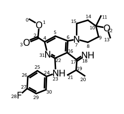 COC(=O)c1cc(N2CCC(C)(OC)CC2)c(C(=N)C(C)C)c(Nc2ccc(F)cc2)n1